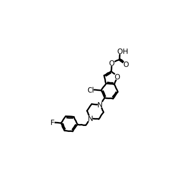 O=C(O)Oc1cc2c(Cl)c(N3CCN(Cc4ccc(F)cc4)CC3)ccc2o1